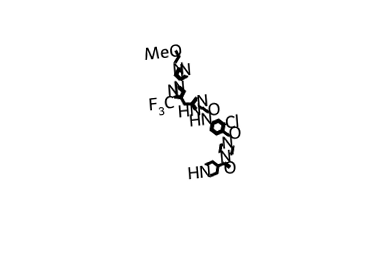 COCCn1cc(-n2cc(Cc3cnc(C(=O)Nc4ccc(C(=O)N5CCN(C(=O)C6CCNCC6)CC5)c(Cl)c4)[nH]3)c(C(F)(F)F)n2)cn1